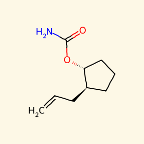 C=CC[C@@H]1CCC[C@H]1OC(N)=O